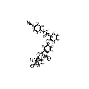 N#Cc1ccc(C2CN([C@H]3CCCC[C@@H]3Oc3ccc4c(c3)CN(C35CC(C3)C(=O)NC5=O)C4=O)C2)cc1